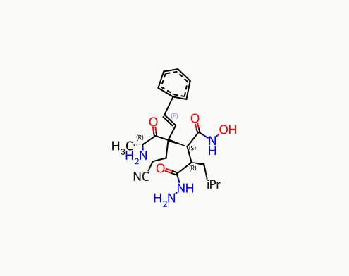 CC(C)C[C@@H](C(=O)NN)[C@H](C(=O)NO)C(/C=C/c1ccccc1)(CCC#N)C(=O)[C@@H](C)N